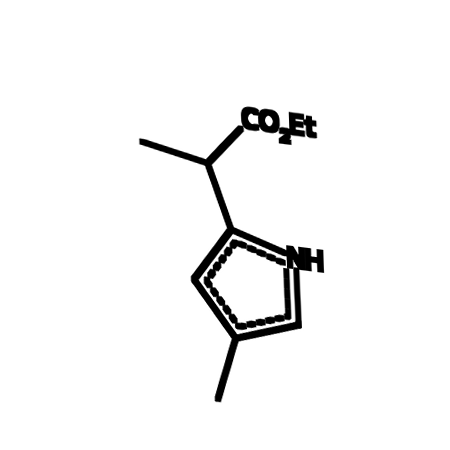 CCOC(=O)C(C)c1cc(C)c[nH]1